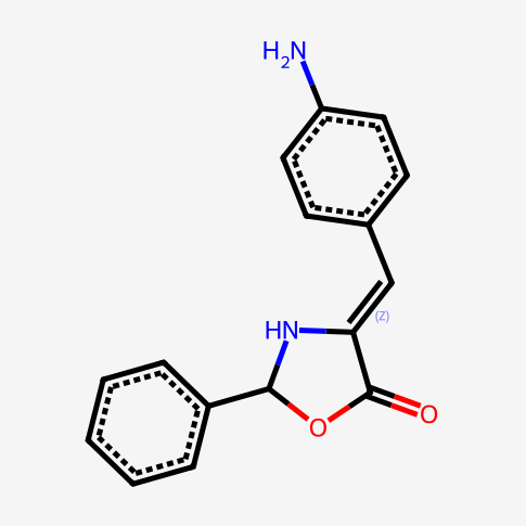 Nc1ccc(/C=C2\NC(c3ccccc3)OC2=O)cc1